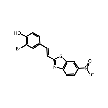 O=[N+]([O-])c1ccc2nc(C=Cc3ccc(O)c(Br)c3)sc2c1